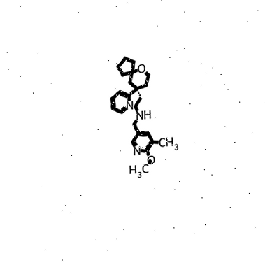 COc1ncc(CNCC[C@@]2(c3ccccn3)CCOC3(CCCC3)C2)cc1C